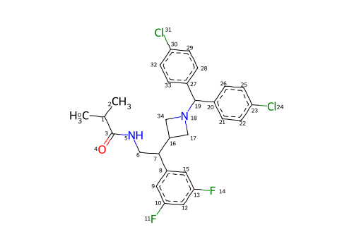 CC(C)C(=O)NCC(c1cc(F)cc(F)c1)C1CN(C(c2ccc(Cl)cc2)c2ccc(Cl)cc2)C1